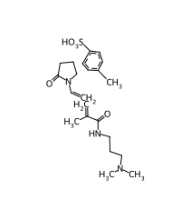 C=C(C)C(=O)NCCCN(C)C.C=CN1CCCC1=O.Cc1ccc(S(=O)(=O)O)cc1